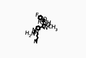 COc1ncc(-c2ccc3nc(N)n(CCCC#N)c3c2)cc1NS(=O)(=O)c1ccc(F)cc1F